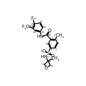 Cc1ccc(S(=O)(=O)NC2(C)COC2)cc1C(=O)Nc1ccc(F)c(C(F)(F)F)c1